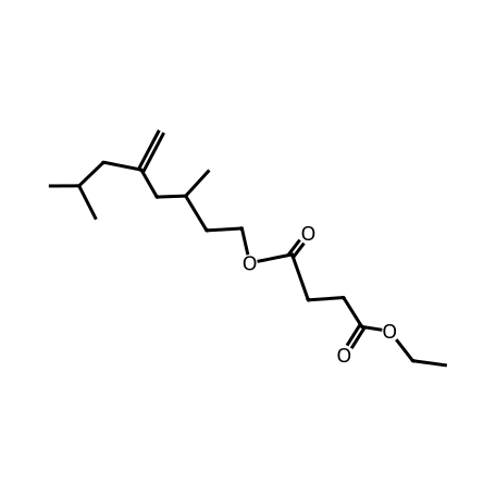 C=C(CC(C)C)CC(C)CCOC(=O)CCC(=O)OCC